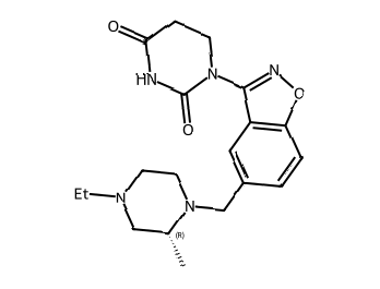 CCN1CCN(Cc2ccc3onc(N4CCC(=O)NC4=O)c3c2)[C@H](C)C1